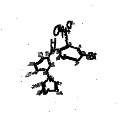 O=[N+]([O-])c1cc(Br)cnc1Nc1cccc(-n2ccnc2)c1